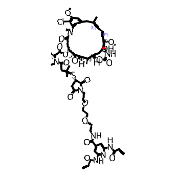 C=CC(=O)Nc1cc(C(=O)NCCOCCOCCN2C(=O)CC(SC(C)(C)CC(=O)N(C)[C@@H](C)C(=O)O[C@H]3CC(=O)N(C)c4cc(cc(OC)c4Cl)C/C(C)=C/C=C/[C@@H](OC)[C@@]4(O)C[C@H](OC(=O)N4)[C@@H](C)[C@@H]4O[C@@]34C)C2=O)cc(NC(=O)C=C)n1